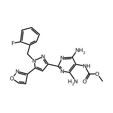 COC(=O)Nc1c(N)nc(-c2cc(-c3ccon3)n(Cc3ccccc3F)n2)nc1N